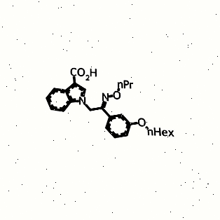 CCCCCCOc1cccc(C(Cn2cc(C(=O)O)c3ccccc32)=NOCCC)c1